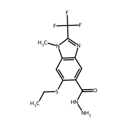 CCSc1cc2c(cc1C(=O)NN)nc(C(F)(F)F)n2C